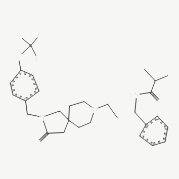 CC(C)C(=O)N[C@@H](CCN1CCC2(CC1)CC(=O)N(Cc1ccc(OC(F)(F)F)cc1)C2)c1ccccc1